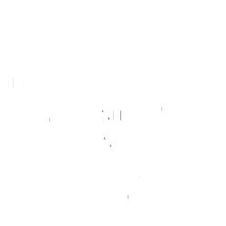 Cc1ccccc1C(=O)NN=c1c(=O)c2ccccc2c1=O